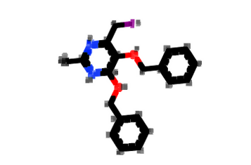 [2H]c1nc(CI)c(OCc2ccccc2)c(OCc2ccccc2)n1